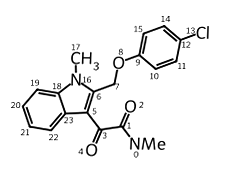 CNC(=O)C(=O)c1c(COc2ccc(Cl)cc2)n(C)c2ccccc12